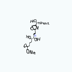 CCCCCC(O)c1coc(/C=C/C(O)C(O)CCCC(=O)OC)n1